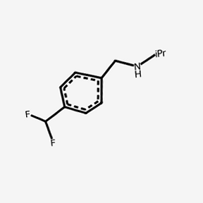 CC(C)NCc1ccc(C(F)F)cc1